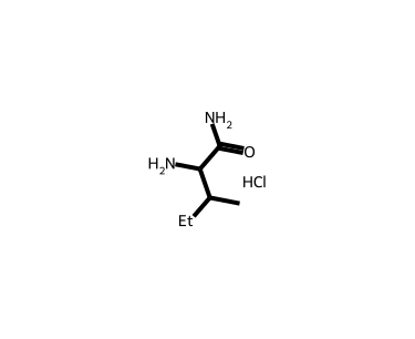 CCC(C)C(N)C(N)=O.Cl